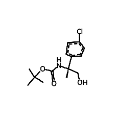 CC(C)(C)OC(=O)N[C@@](C)(CO)c1ccc(Cl)cc1